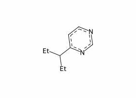 CCC(CC)c1ccncn1